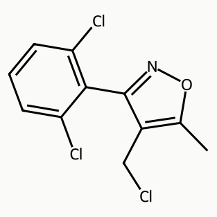 Cc1onc(-c2c(Cl)cccc2Cl)c1CCl